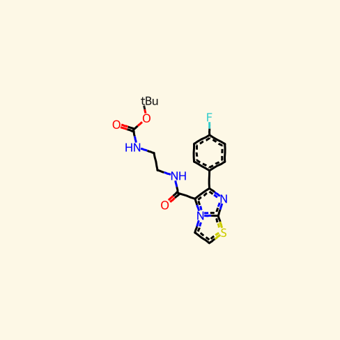 CC(C)(C)OC(=O)NCCNC(=O)c1c(-c2ccc(F)cc2)nc2sccn12